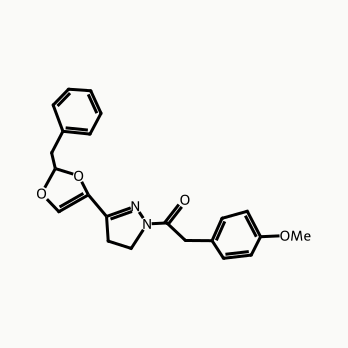 COc1ccc(CC(=O)N2CCC(C3=COC(Cc4ccccc4)O3)=N2)cc1